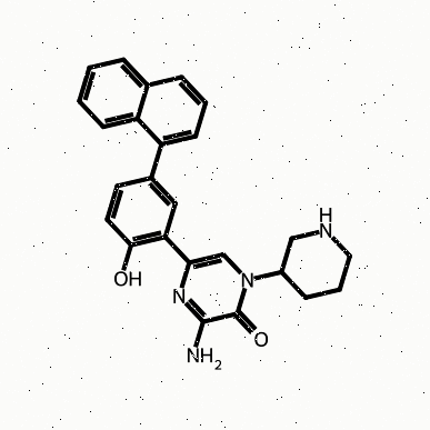 Nc1nc(-c2cc(-c3cccc4ccccc34)ccc2O)cn(C2CCCNC2)c1=O